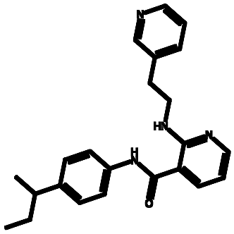 CCC(C)c1ccc(NC(=O)c2cccnc2NCCc2cccnc2)cc1